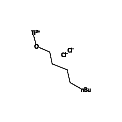 CCCCCCCC[O][Ti+2].[Cl-].[Cl-]